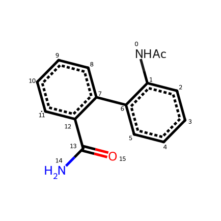 CC(=O)Nc1ccccc1-c1ccc[c]c1C(N)=O